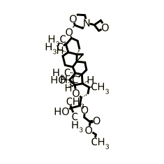 CCOC(=O)CO[C@@H]([C@H]1C[C@@H](C)[C@H]2[C@H](O1)[C@H](O)[C@@]1(C)C3CC[C@H]4C(C)(C)[C@@H](O[C@H]5CN(C6COC6)CCO5)CC[C@@]45C[C@@]35CC[C@]21C)C(C)(C)O